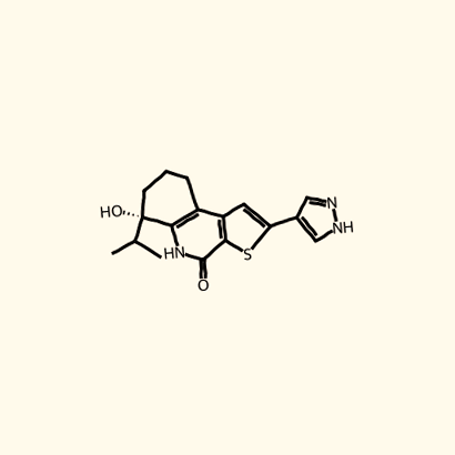 CC(C)[C@@]1(O)CCCc2c1[nH]c(=O)c1sc(-c3cn[nH]c3)cc21